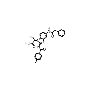 CCC(C(=O)O)n1c(=NC(=O)c2ccc(C)cc2)sc2cc(NC(=O)Cc3ccccc3)ccc21